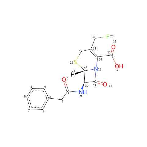 O=C(Cc1ccccc1)N[C@@H]1C(=O)N2C(C(=O)O)=C(CF)CS[C@@H]12